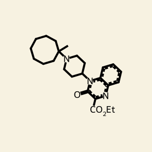 CCOC(=O)c1nc2ccccc2n(C2CCN(C3(C)CCCCCCC3)CC2)c1=O